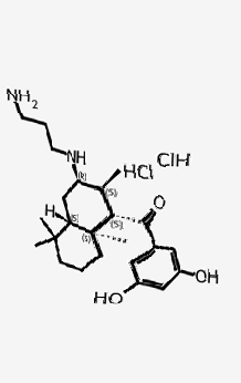 C[C@@H]1[C@H](NCCCN)C[C@H]2C(C)(C)CCC[C@]2(C)[C@H]1C(=O)c1cc(O)cc(O)c1.Cl.Cl